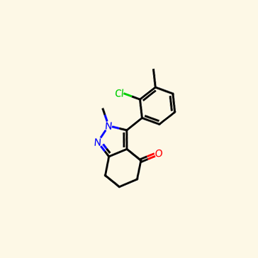 Cc1cccc(-c2c3c(nn2C)CCCC3=O)c1Cl